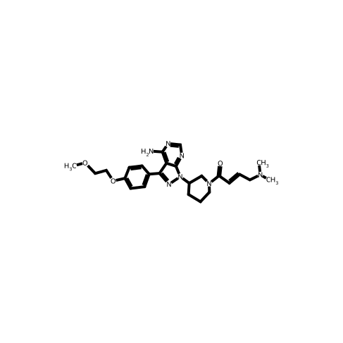 COCCOc1ccc(-c2nn(C3CCCN(C(=O)C=CCN(C)C)C3)c3ncnc(N)c23)cc1